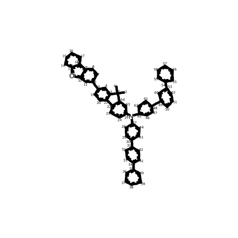 CC1(C)c2cc(-c3ccc4c(c3)oc3ccccc34)ccc2-c2ccc(N(c3ccc(-c4ccc(-c5ccccc5)cc4)cc3)c3ccc(-c4cccc(-c5ccccc5)c4)cc3)cc21